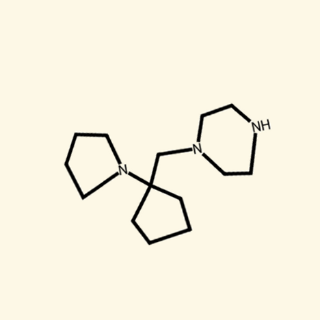 C1CCN(C2(CN3CCNCC3)CCCC2)C1